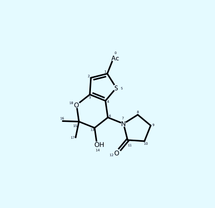 CC(=O)c1cc2c(s1)C(N1CCCC1=O)C(O)C(C)(C)O2